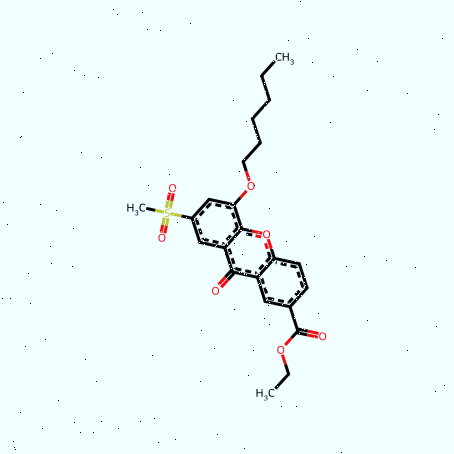 CCCCCCOc1cc(S(C)(=O)=O)cc2c(=O)c3cc(C(=O)OCC)ccc3oc12